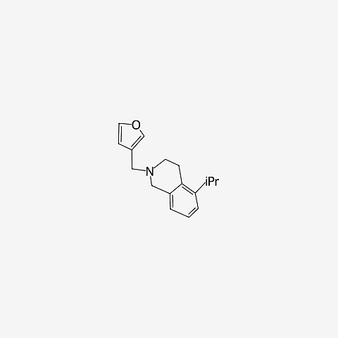 CC(C)c1cccc2c1CCN(Cc1ccoc1)C2